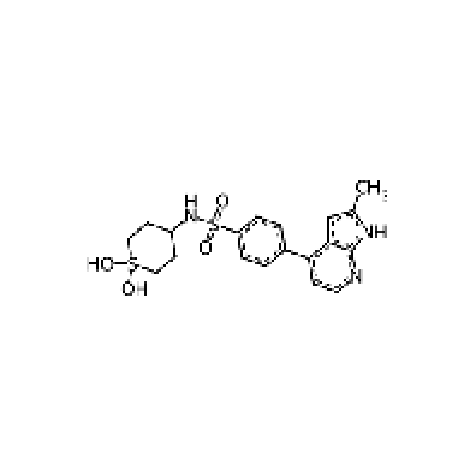 Cc1cc2c(-c3ccc(S(=O)(=O)NC4CCS(O)(O)CC4)cc3)ccnc2[nH]1